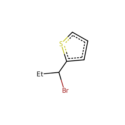 CCC(Br)c1cccs1